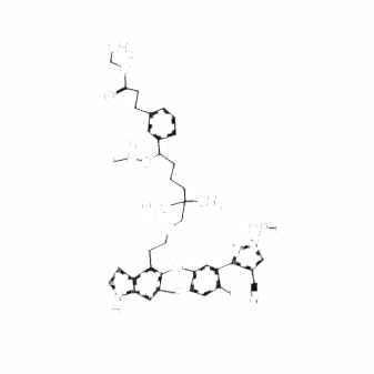 CCOC(=O)CCc1cccc(C(CCCC(C)(C)CSCCc2c(Oc3ccc(F)c(-c4nn(PI)cc4C#N)c3)c(F)cc3[nH]ccc23)OPI)c1